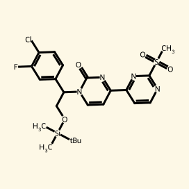 CC(C)(C)[Si](C)(C)OCC(c1ccc(Cl)c(F)c1)n1ccc(-c2ccnc(S(C)(=O)=O)n2)nc1=O